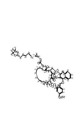 COc1ccc(COc2c(Br)c(O[C@@H]3C[C@H]4C(=O)N(C(=O)O)[C@]5(C(=O)O)C[C@H]5/C=C\CCCCC[C@H](NC(=O)O[C@@H]5C[C@H]5CCCCCB5OC(C)(C)C(C)(C)O5)C(=O)N4C3)nc3ccccc23)cc1